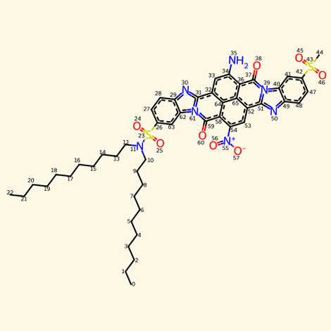 CCCCCCCCCCCN(CCCCCCCCCCC)S(=O)(=O)c1ccc2nc3c4cc(N)c5c(=O)n6c7cc(S(C)(=O)=O)ccc7nc6c6cc([N+](=O)[O-])c(c(=O)n3c2c1)c4c56